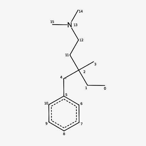 CCC(C)([CH]c1ccccc1)CCN(C)C